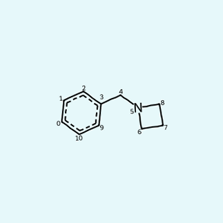 c1ccc(CN2CCC2)cc1